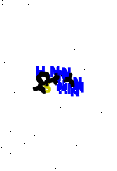 Cc1csc2c(-c3cnc4c(-c5nnn[nH]5)cnn4c3N)cccc12